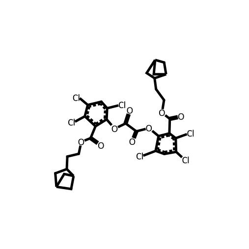 O=C(Oc1c(Cl)cc(Cl)c(Cl)c1C(=O)OCCC1CC2CC1C2)C(=O)Oc1c(Cl)cc(Cl)c(Cl)c1C(=O)OCCC1CC2CC1C2